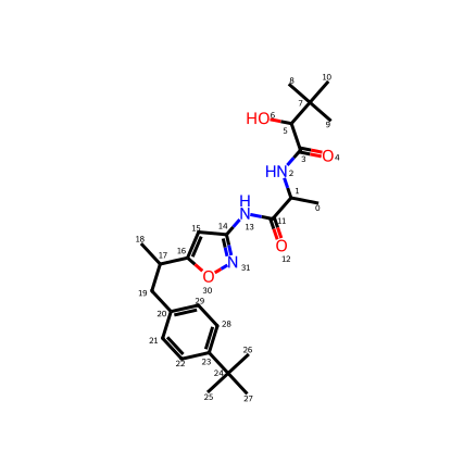 CC(NC(=O)C(O)C(C)(C)C)C(=O)Nc1cc(C(C)Cc2ccc(C(C)(C)C)cc2)on1